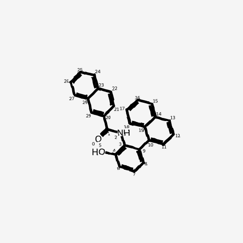 O=C(Nc1c(O)cccc1-c1cccc2ccccc12)c1ccc2ccccc2c1